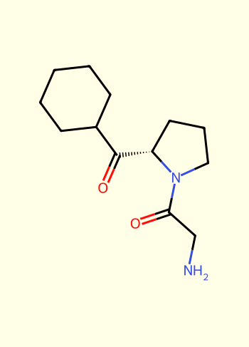 NCC(=O)N1CCC[C@H]1C(=O)C1CCCCC1